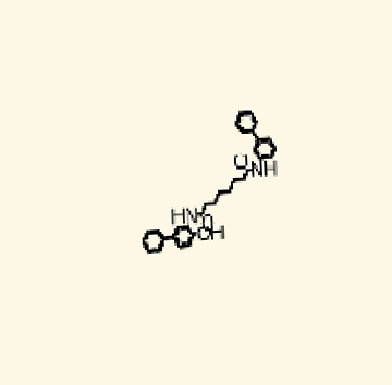 O=C(CCCCCCC(=O)Nc1cc(-c2ccccc2)ccc1O)Nc1cccc(-c2ccccc2)c1